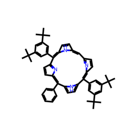 CC(C)(C)c1cc(-c2c3nc(c(-c4ccccc4)c4ccc([nH]4)c(-c4cc(C(C)(C)C)cc(C(C)(C)C)c4)c4nc(cc5ccc2[nH]5)C=C4)C=C3)cc(C(C)(C)C)c1